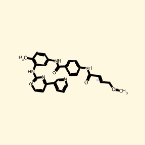 COC/C=C/C(=O)Nc1ccc(C(=O)Nc2ccc(C)c(Nc3nccc(-c4cccnc4)n3)c2)cc1